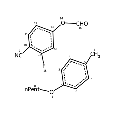 CCCCCOc1ccc(C)cc1.N#Cc1ccc(OC=O)cc1F